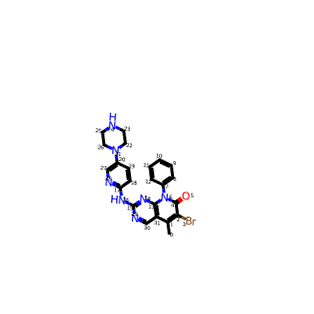 Cc1c(Br)c(=O)n(-c2ccccc2)c2nc(Nc3ccc(N4CCNCC4)cn3)ncc12